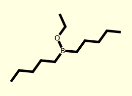 CCCCCB(CCCCC)OCC